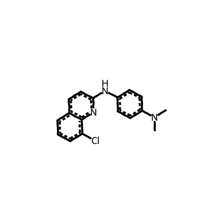 CN(C)c1ccc(Nc2ccc3cccc(Cl)c3n2)cc1